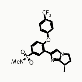 CNS(=O)(=O)c1ccc(Oc2ccc(C(F)(F)F)cc2)c(-c2cn3c(n2)[C@H](C)CC3)c1